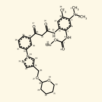 CN(C)c1cc(NC(=O)OC(C)(C)C)c(NC(=O)CC(=O)c2cccc(-n3cc(COC4CCCCO4)cn3)c2)cc1C(F)(F)F